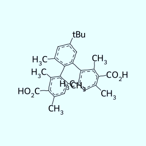 Cc1cc(C)c(-c2cc(C(C)(C)C)cc(C)c2-c2c(C)cc(C)c(C(=O)O)c2C)c(C)c1C(=O)O